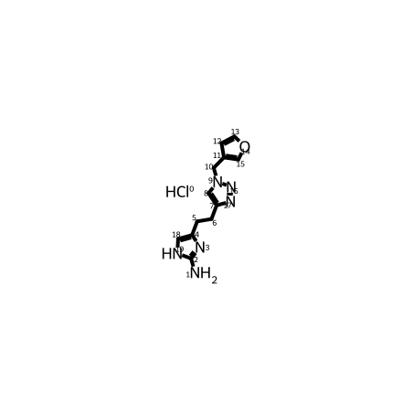 Cl.Nc1nc(CCc2cn(Cc3ccoc3)nn2)c[nH]1